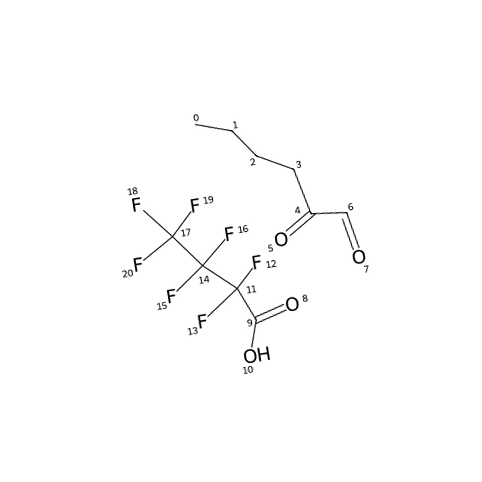 CCCCC(=O)C=O.O=C(O)C(F)(F)C(F)(F)C(F)(F)F